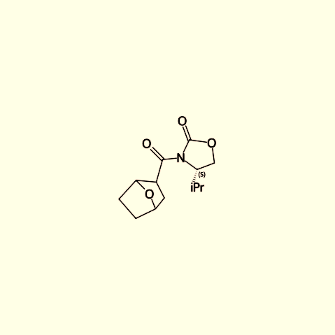 CC(C)[C@H]1COC(=O)N1C(=O)C1CC2CCC1O2